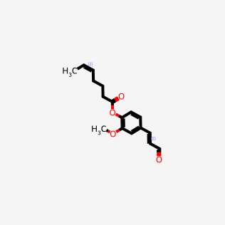 C/C=C\CCCC(=O)Oc1ccc(/C=C/C=O)cc1OC